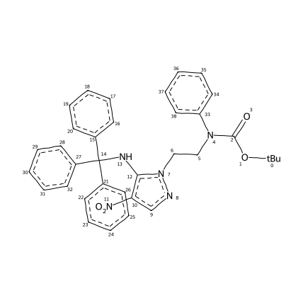 CC(C)(C)OC(=O)N(CCn1ncc([N+](=O)[O-])c1NC(c1ccccc1)(c1ccccc1)c1ccccc1)c1ccccc1